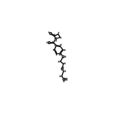 O=C1CCN1C(=O)c1ccc(OCCOCCO)cc1